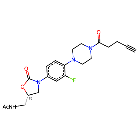 C#CCCC(=O)N1CCN(c2ccc(N3C[C@H](CNC(C)=O)OC3=O)cc2F)CC1